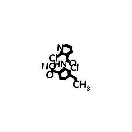 CCc1ccc(C(=O)O)c(NC(=O)c2cccnc2Cl)c1Cl